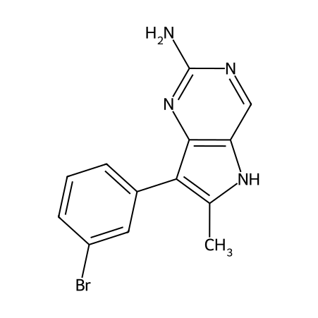 Cc1[nH]c2cnc(N)nc2c1-c1cccc(Br)c1